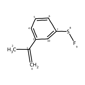 C=C(C)c1cccc(SF)c1